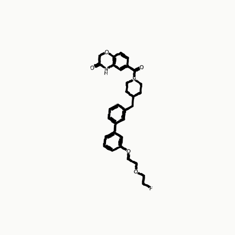 O=C1COc2ccc(C(=O)N3CCC(Cc4cccc(-c5cccc(OCCOCCF)c5)c4)CC3)cc2N1